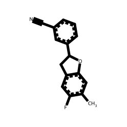 Cc1cc2c(cc1F)CC(c1cccc(C#N)c1)O2